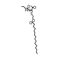 CCCCCCCCCCCCCCCC(=O)OCCSC[C@H](NC(=O)CCC)C(C)=O